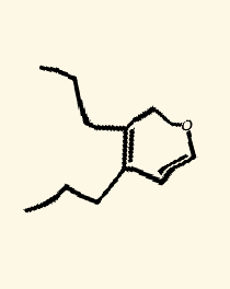 CCCC1=C(CCC)COC=C1